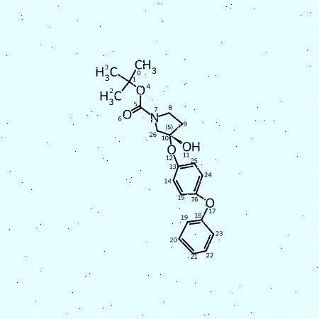 CC(C)(C)OC(=O)N1CC[C@](O)(Oc2ccc(Oc3ccccc3)cc2)C1